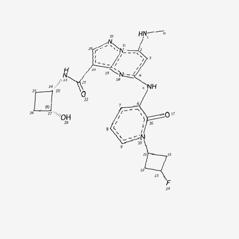 CNc1cc(Nc2cccn(C3CC(F)C3)c2=O)nc2c(C(=O)N[C@H]3CC[C@H]3O)cnn12